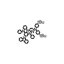 CC(C)(C)c1ccc(N(c2ccc(C(C)(C)C)cc2)c2ccc3c(n2)N(c2ccccc2)c2cc(-n4c5ccccc5c5ccccc54)cc4c2B3c2ccccc2N4c2ccccc2)cc1